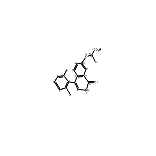 Cc1cccc(C)c1-c1c[nH]c(=O)c2cc(O[C@H](C)C(=O)O)ccc12